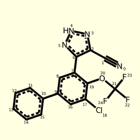 N#Cc1n[nH]nc1-c1cc(-c2ccccc2)cc(Cl)c1OC(F)(F)F